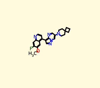 COc1cc2c(-c3cnn4cc(N5CCC6(CCC6)CC5)cnc34)ccnc2cc1F